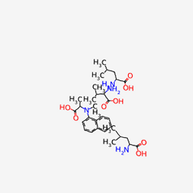 CC(C(=O)O)N(C)c1cccc2ccccc12.CC(C)C(N)C(=O)O.CC(C)CC(N)C(=O)O.CC(C)CC(N)C(=O)O